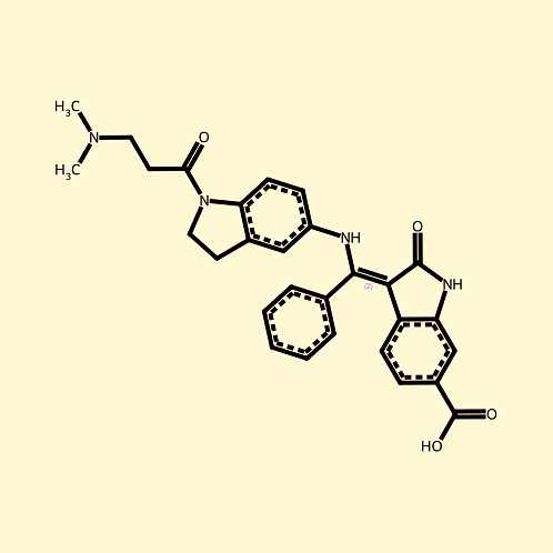 CN(C)CCC(=O)N1CCc2cc(N/C(=C3\C(=O)Nc4cc(C(=O)O)ccc43)c3ccccc3)ccc21